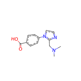 CN(C)Cc1nccn1-c1ccc(C(=O)O)cc1